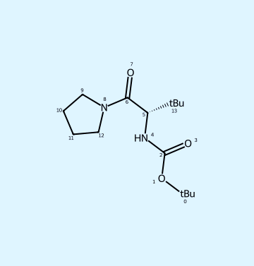 CC(C)(C)OC(=O)N[C@H](C(=O)N1CCCC1)C(C)(C)C